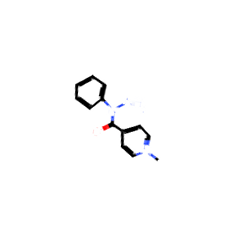 C[n+]1ccc(C(=O)N(N)c2ccccc2)cc1